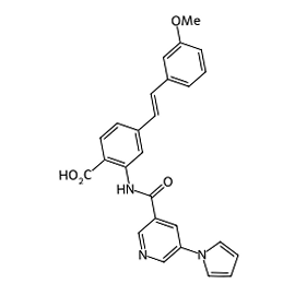 COc1cccc(/C=C/c2ccc(C(=O)O)c(NC(=O)c3cncc(-n4cccc4)c3)c2)c1